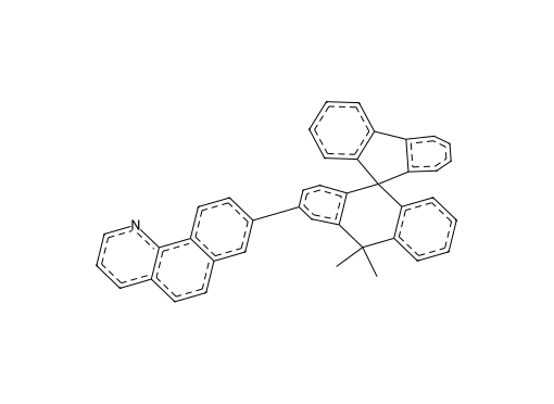 CC1(C)c2ccccc2C2(c3ccccc3-c3ccccc32)c2ccc(-c3ccc4c(ccc5cccnc54)c3)cc21